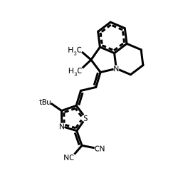 CC(C)(C)c1nc(=C(C#N)C#N)sc1=CC=C1N2CCCc3cccc(c32)C1(C)C